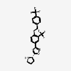 FC(F)(F)c1ccc(CCc2ccc(-c3noc([C@@H]4CCCN4)n3)cc2C(F)(F)F)cc1